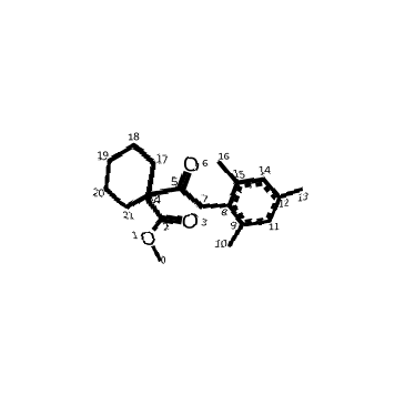 COC(=O)C1(C(=O)Cc2c(C)cc(C)cc2C)CCCCC1